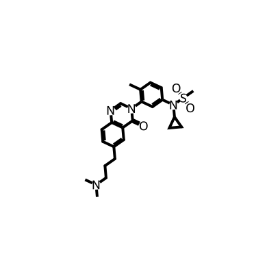 Cc1ccc(N(C2CC2)S(C)(=O)=O)cc1-n1cnc2ccc(CCCN(C)C)cc2c1=O